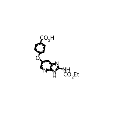 CCOC(=O)Nc1nc2cc(Oc3ccc(C(=O)O)cc3)cnc2[nH]1